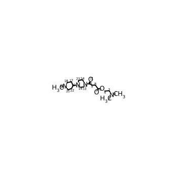 CN(C)CCOC(=O)CCC(=O)N1CCN(C2CCN(C)CC2)CC1